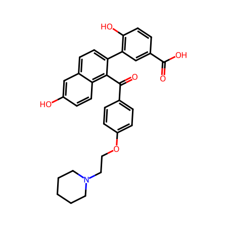 O=C(O)c1ccc(O)c(-c2ccc3cc(O)ccc3c2C(=O)c2ccc(OCCN3CCCCC3)cc2)c1